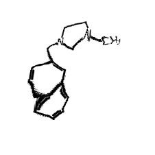 CN1CCN(Cc2ccc3ccccc3c2)C1